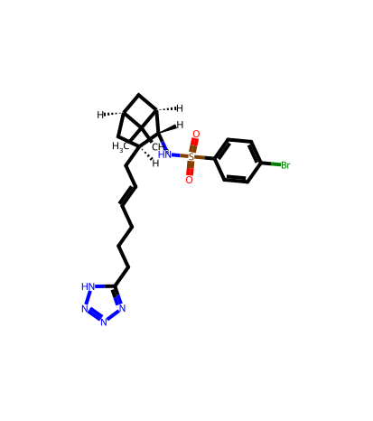 CC1(C)[C@H]2C[C@H](CC=CCCCc3nnn[nH]3)[C@@H](NS(=O)(=O)c3ccc(Br)cc3)[C@@H]1C2